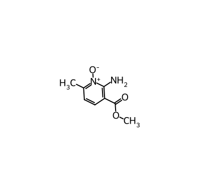 COC(=O)c1ccc(C)[n+]([O-])c1N